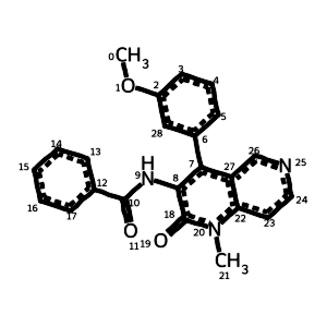 COc1cccc(-c2c(NC(=O)c3ccccc3)c(=O)n(C)c3ccncc23)c1